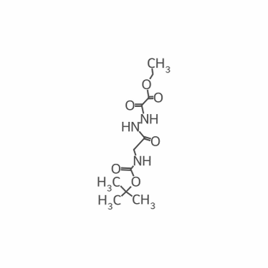 CCOC(=O)C(=O)NNC(=O)CNC(=O)OC(C)(C)C